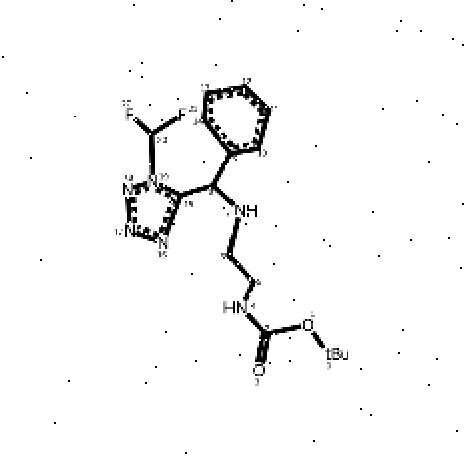 CC(C)(C)OC(=O)NCCNC(c1ccccc1)c1nnnn1C(F)F